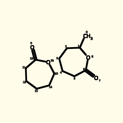 CC1CCCCC(=O)O1.O=C1CCCCCO1